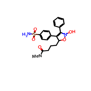 CNC(=O)CCCC1ON(O)C(c2ccccc2)=C1c1ccc(S(N)(=O)=O)cc1